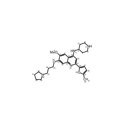 COc1cc2c(NC3CCNCC3)cc(-c3ccc(C)o3)nc2cc1OCCCN1CCCC1